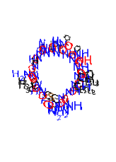 CCCC[C@H]1C(=O)N(C)[C@@H](CCCC)C(=O)N[C@@H](CCCNC(=N)N)C(=O)N[C@H](C(=O)NCC(N)=O)CSCC(=O)N[C@@H](Cc2ccccc2)C(=O)N(C)[C@@H](C)C(=O)N[C@@H](CC(N)=O)C(=O)N2CCC[C@H]2C(=O)N[C@@H](Cc2cnc[nH]2)C(=O)N[C@@H](CC(C)C)C(=O)N[C@@H](CCNC(=O)C2CCCC2)C(=O)N[C@@H](Cc2c[nH]c3ccccc23)C(=O)N[C@@H](CO)C(=O)N[C@@H](Cc2c[nH]c3ccccc23)C(=O)N1C